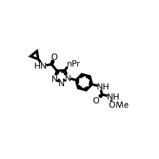 CCCc1c(C(=O)NC2CC2)nnn1-c1ccc(NC(=O)NOC)cc1